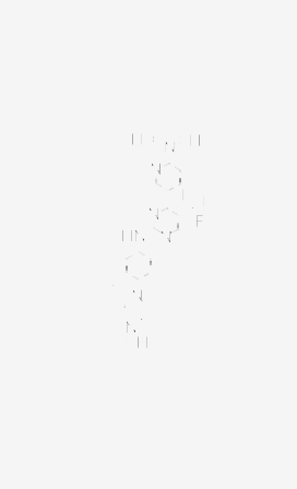 Cc1cc(Nc2ncc(C(F)(F)F)c(-c3ccc(N(C)C)nc3)n2)ccc1N1CC2CC1CN2C